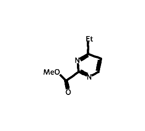 CCc1ccnc(C(=O)OC)n1